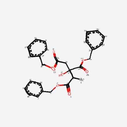 CC(=O)C(C(=O)OCc1ccccc1)C(O)(CC(=O)OCc1ccccc1)C(=O)OCc1ccccc1